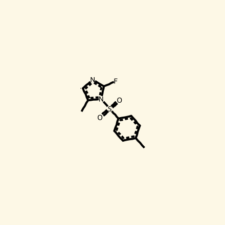 Cc1ccc(S(=O)(=O)n2c(C)[c]nc2F)cc1